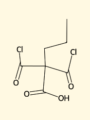 CCCC(C(=O)O)(C(=O)Cl)C(=O)Cl